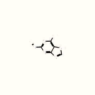 O=Nc1nc(Cl)c2[nH]cnc2n1